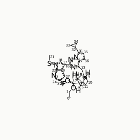 CCOC(=O)[C@H]1[C@H]2CC[C@H](CC2)[C@@H]1Cc1nc(-c2cn(SI)c3ncc(F)cc23)nn2c(C3CC3)ccc12